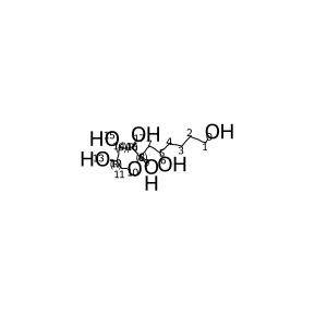 OCCCCC(O)C[C@]1(O)OC[C@@H](O)[C@H](O)[C@H]1O